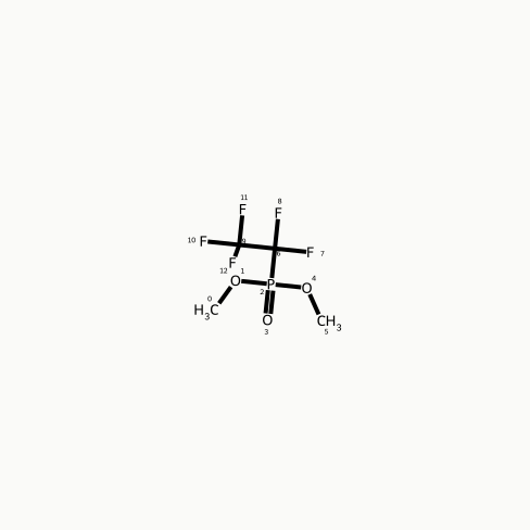 COP(=O)(OC)C(F)(F)C(F)(F)F